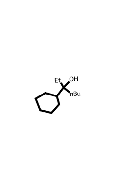 [CH2]CC(O)(CCCC)C1CCCCC1